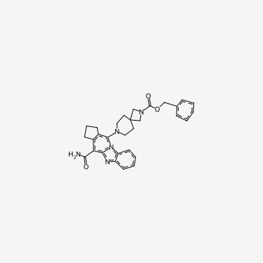 NC(=O)c1c2c(c(N3CCC4(CC3)CN(C(=O)OCc3ccccc3)C4)n3c1nc1ccccc13)CCC2